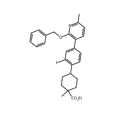 CCOC(=O)C1(C)CCN(c2ccc(-c3ccc(C)nc3OCc3ccccc3)cc2F)CC1